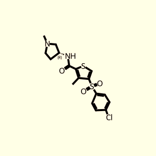 Cc1c(S(=O)(=O)c2ccc(Cl)cc2)csc1C(=O)N[C@@H]1CCN(C)C1